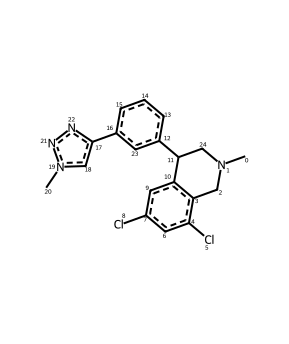 CN1Cc2c(Cl)cc(Cl)cc2C(c2cccc(-c3cn(C)nn3)c2)C1